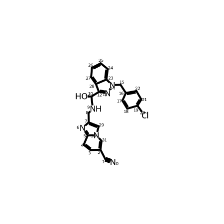 N#Cc1ccc2nc(CNC(O)c3nn(Cc4ccc(Cl)cc4)c4ccccc34)cn2c1